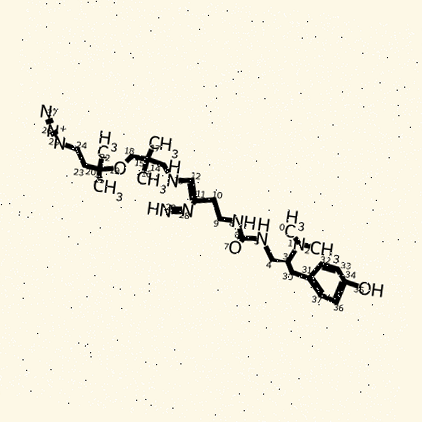 CN(C)[C@H](CNC(=O)NCC/C(=C/NCC(C)(C)COC(C)(C)CCN=[N+]=[N-])N=N)Cc1ccc(O)cc1